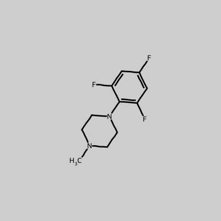 CN1CCN(c2c(F)cc(F)cc2F)CC1